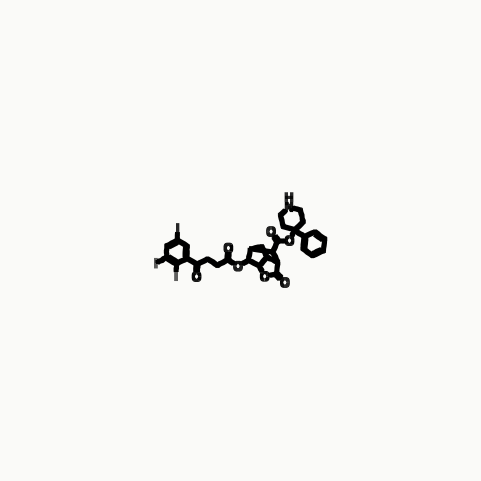 O=C(CCC(=O)c1cc(I)cc(I)c1I)OC1C2CC3C1OC(=O)C3C2C(=O)OC1(c2ccccc2)CCNCC1